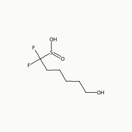 O=S(O)C(F)(F)CCCCCO